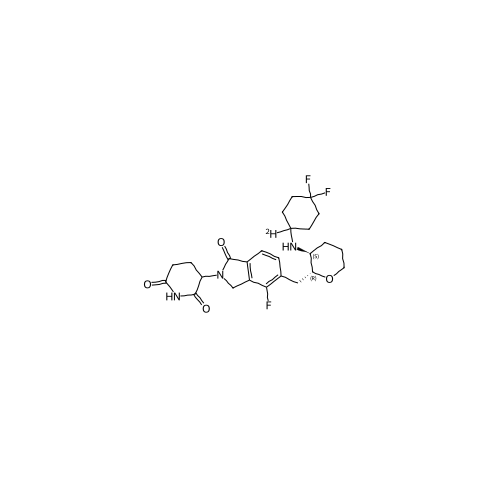 [2H]C1(N[C@H]2CCCO[C@@H]2Cc2ccc3c(c2F)CN(C2CCC(=O)NC2=O)C3=O)CCC(F)(F)CC1